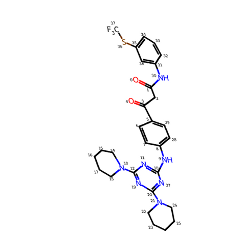 O=C(CC(=O)c1ccc(Nc2nc(N3CCCCC3)nc(N3CCCCC3)n2)cc1)Nc1cccc(SC(F)(F)F)c1